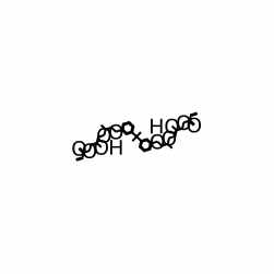 C=CC(=O)OCC(O)COC(C)COc1cccc(C(C)(C)c2cccc(OCC(C)OCC(O)COC(=O)C=C)c2)c1